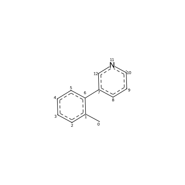 Cc1ccccc1-c1cc[c]nc1